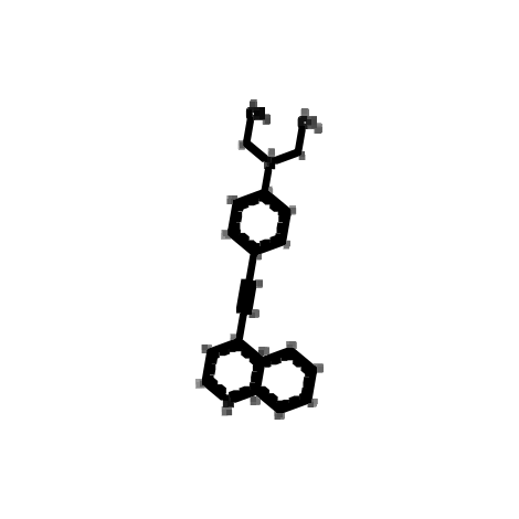 CCN(CC)c1ccc(C#Cc2ccnc3ccccc23)cc1